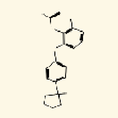 CC(C)(C)C(=O)Nc1c(F)cccc1Oc1ccc(C2(C(=O)O)CCCC2)cc1